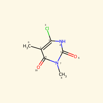 Cc1c(Cl)[nH]c(=O)n(C)c1=O